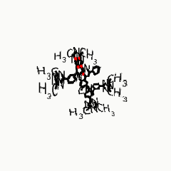 Cc1nc(C)nc(-c2ccc3c(c2)c2cc(-c4nc(C)nc(C)n4)ccc2n3-c2cc(-c3cc(-c4ccccc4)nc(-c4ccccc4)c3)c(-n3c4ccc(-c5nc(C)nc(C)n5)cc4c4cc(-c5nc(C)nc(C)n5)ccc43)cc2C#N)n1